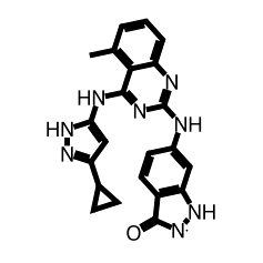 Cc1cccc2nc(Nc3ccc4c(c3)N[N]C4=O)nc(Nc3cc(C4CC4)n[nH]3)c12